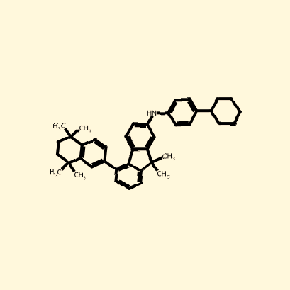 CC1(C)CCC(C)(C)c2cc(-c3cccc4c3-c3ccc(Nc5ccc(C6CCCCC6)cc5)cc3C4(C)C)ccc21